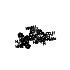 CSCC[C@H](NC(=O)[C@H](C)NC(=O)[C@H](CS)NC(=O)[C@H](CCC(N)=O)NC(=O)[C@H](CCCNC(=N)N)NC(=O)[C@H](Cc1c[nH]c2ccccc12)NC(=O)[C@H](Cc1ccccc1)NC(=O)[C@@H](N)Cc1c[nH]cn1)C(=O)N[C@@H](CCCCN)C(=O)O